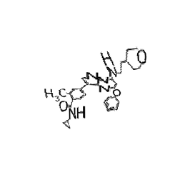 Cc1cc(-c2cnn3c(NCCC4CCOCC4)cc(Oc4ccccc4)nc23)ccc1C(=O)NC1CC1